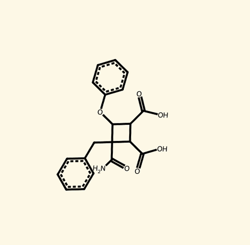 NC(=O)C1(Cc2ccccc2)C(Oc2ccccc2)C(C(=O)O)C1C(=O)O